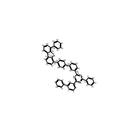 c1ccc(-c2cccc(-c3nc(-c4ccccc4)nc(-c4cccc(-c5ccc(-c6cccc7c6sc6c(-c8ccccc8)cccc67)cc5)c4)n3)c2)cc1